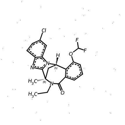 CCN1C(=O)c2cccc(OC(F)F)c2[C@@H]2C[C@]1(C)c1nc3ccc(Cl)cc3n12